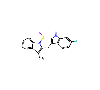 Cc1c(Cc2c[nH]c3cc(F)ccc23)n(SI)c2ccccc12